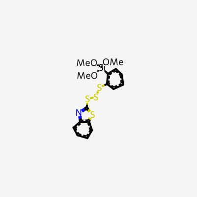 CO[Si](OC)(OC)c1ccccc1SSSc1nc2ccccc2s1